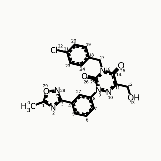 Cc1nc(-c2cccc(-n3nc(CO)c(=O)n(Cc4ccc(Cl)cc4)c3=O)c2)no1